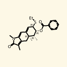 CCS[C@@H]1C=C2C=C3C(=C(C)C(=O)N3C)C[C@]2(C)[C@@H](C)[C@H]1OC(=O)c1ccccc1